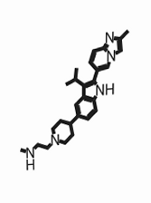 CNCCN1CCC(c2ccc3[nH]c(-c4ccc5nc(C)cn5c4)c(C(C)C)c3c2)CC1